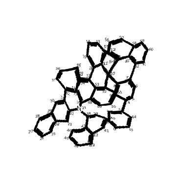 c1ccc(-c2ccc3c(c2)C2(c4ccccc4-c4ccc(N(c5cc6ccccc6cc5-c5ccccc5)c5cccc6ccccc56)c5cccc2c45)c2cccc4cccc-3c24)cc1